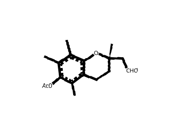 CC(=O)Oc1c(C)c(C)c2c(c1C)CC[C@@](C)(CC=O)O2